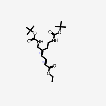 CCOC(=O)/C=C/C=C(\CCNC(=O)OC(C)(C)C)CNC(=O)OC(C)(C)C